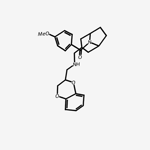 COc1ccc(C(=O)N2C3CCC2CC(CNCC2COc4ccccc4O2)C3)cc1